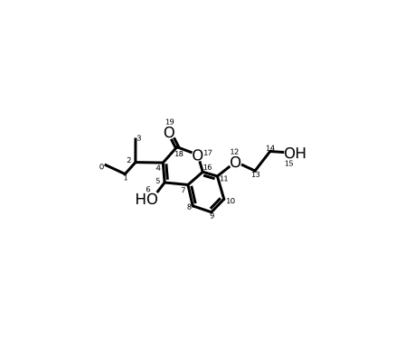 CCC(C)c1c(O)c2cccc(OCCO)c2oc1=O